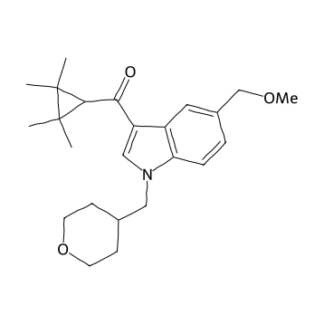 COCc1ccc2c(c1)c(C(=O)C1C(C)(C)C1(C)C)cn2CC1CCOCC1